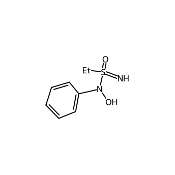 CCS(=N)(=O)N(O)c1ccccc1